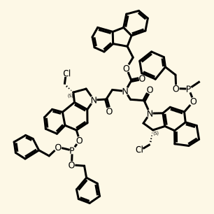 CP(OCc1ccccc1)Oc1cc2c(c3ccccc13)[C@H](CCl)CN2C(=O)CN(CC(=O)N1C[C@@H](CCl)c2c1cc(OP(OCc1ccccc1)OCc1ccccc1)c1ccccc21)C(=O)OCC1c2ccccc2-c2ccccc21